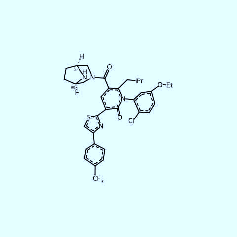 CCOc1ccc(Cl)c(-n2c(CC(C)C)c(C(=O)N3C[C@H]4CC[C@@H](C3)N4)cc(-c3nc(-c4ccc(C(F)(F)F)cc4)cs3)c2=O)c1